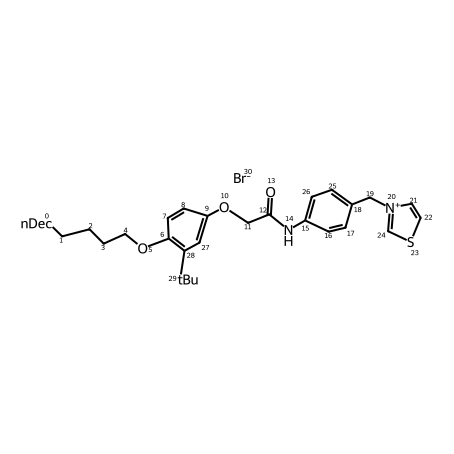 CCCCCCCCCCCCCCOc1ccc(OCC(=O)Nc2ccc(C[n+]3ccsc3)cc2)cc1C(C)(C)C.[Br-]